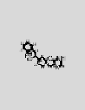 O=c1[nH]ccnc1CN1CCC(C(O)Cc2ccccc2F)CC1